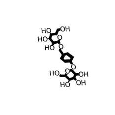 OCC1O[C@@H](Oc2ccc(COC3OC(CO)[C@@H](O)[C@H](O)C3O)cc2)C(O)C(O)[C@H]1O